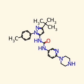 Cc1ccc(-n2nc(C(C)(C)C)cc2NC(=O)Nc2ccc(N3CCNCC3)nc2)cc1